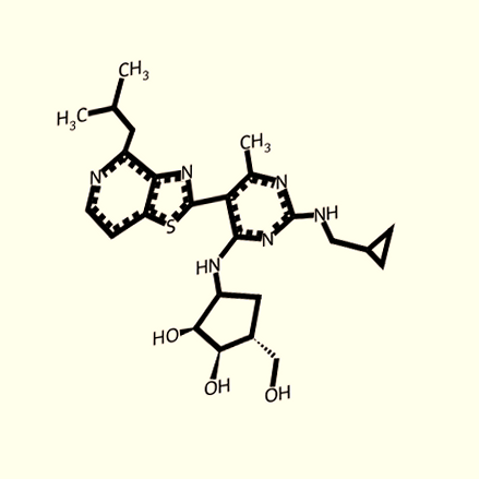 Cc1nc(NCC2CC2)nc(NC2C[C@H](CO)[C@@H](O)[C@H]2O)c1-c1nc2c(CC(C)C)nccc2s1